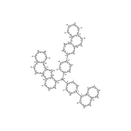 c1ccc2c(-c3ccc(N(c4ccc(-c5ccc6c(ccc7ccccc76)c5)cc4)c4cccc5c4sc4c6ccccc6ccc54)cc3)cccc2c1